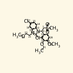 CCOc1cc(C(CS(C)(=O)=O)N2c3ccc(Cl)cc3N(CCOC)C2O)ccc1OC